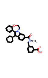 CN(Cc1cccc(C(=O)O)c1)C(=O)c1ccc2c(C3CCCCC3)c3n(c2c1)CCOc1ccccc1-3